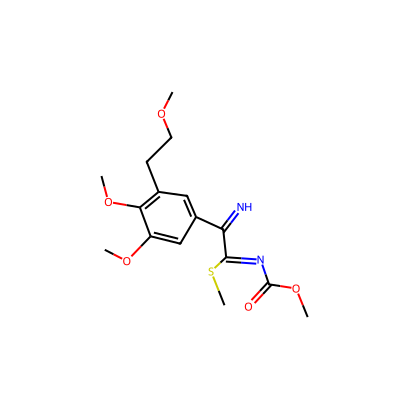 COCCc1cc(C(=N)C(=NC(=O)OC)SC)cc(OC)c1OC